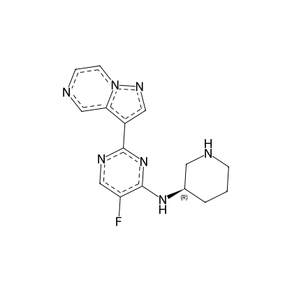 Fc1cnc(-c2cnn3ccncc23)nc1N[C@@H]1CCCNC1